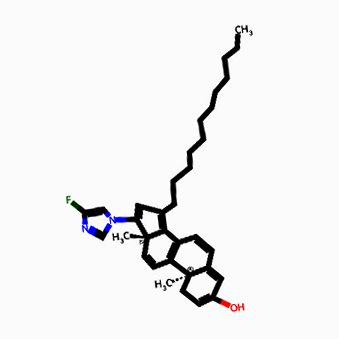 CCCCCCCCCCCCC1=C2C3=C(C=C[C@]2(C)C(n2cnc(F)c2)=C1)[C@]1(C)CC=C(O)C=C1C=C3